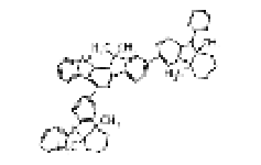 CC1(C)c2cc(-c3ccc4c(c3)C3(C)CCCCC3(C)N4c3ccccc3)ccc2-c2cc(-c3ccc4c(c3)C3(C)CCCCC3(C)N4c3ccccc3)c3c(oc4ccccc43)c21